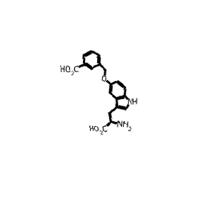 NC(Cc1c[nH]c2ccc(OCc3cccc(C(=O)O)c3)cc12)C(=O)O